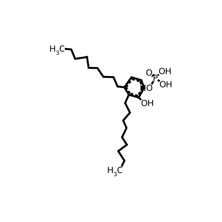 CCCCCCCCCc1cccc(O)c1CCCCCCCCC.O=P(O)(O)O